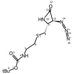 CC(C)(C)OC(=O)NCCSC[C@@H]1NC(=O)[C@H]1N=[N+]=[N-]